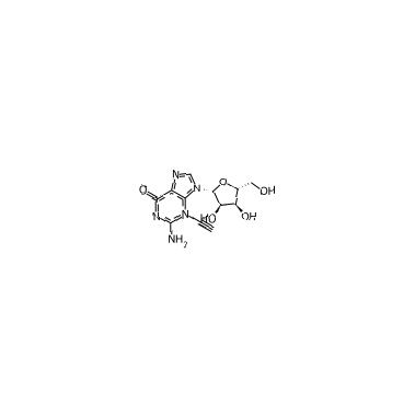 C#Cn1c(N)nc(=O)c2ncn([C@@H]3O[C@H](CO)[C@@H](O)[C@H]3O)c21